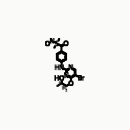 C[C@@H](O)[C@@H](C)Oc1nc(Nc2ccc(C(=O)S(C)(C)N=O)cc2)ncc1Br